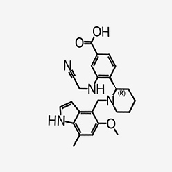 COc1cc(C)c2[nH]ccc2c1CN1CCCC[C@@H]1c1ccc(C(=O)O)cc1NCC#N